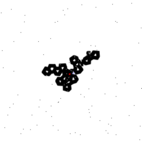 C(=C(\Cc1cccc2c1ccc1c3ccccc3ccc21)c1cccc2c1C1(c3ccccc3-c3ccccc31)c1ccccc1-2)/c1cccc2c1c1ccccc1n2-c1ccc2c(c1)sc1ccccc12